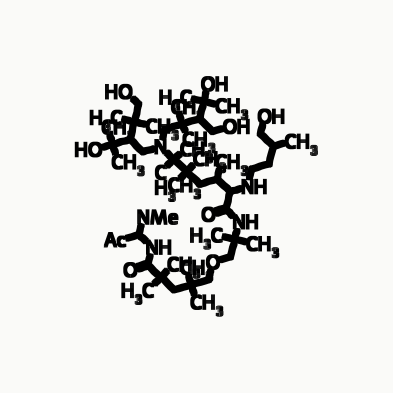 CNC(NC(=O)C(C)(C)CC(C)(C)COCC(C)(C)NC(=O)C(NCCC(C)CO)C(C)CC(C)(C)C(C)(C)N(CC(C(C)(C)O)C(C)(C)CO)CC(C)(C)C(CO)C(C)(C)O)C(C)=O